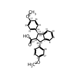 COc1ccc([C@@H]2c3ccccc3[C@H](c3ccc(OC)cc3)C2C(=O)O)cc1